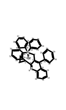 BrP(Cc1c(C2CC2)nc2ccccc2c1-c1ccccc1)(c1ccccc1)(c1ccccc1)c1ccccc1